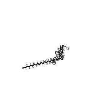 CCCCCCCC/C=C/CCCCCCCC(=O)OCC1C[C@](C)(F)C(n2ccc(N)nc2=O)O1